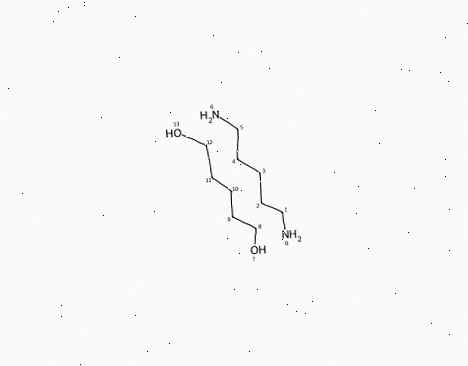 NCCCCCN.OCCCCCO